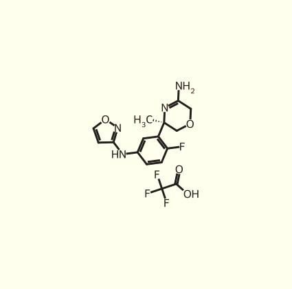 C[C@@]1(c2cc(Nc3ccon3)ccc2F)COCC(N)=N1.O=C(O)C(F)(F)F